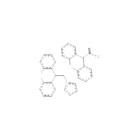 NC(=O)C1c2ccccc2Oc2ccccc21.c1ccc2c(c1)Oc1ccccc1C2Cn1cccc1